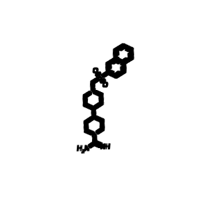 N=C(N)N1CCC(C2CCN(CS(=O)(=O)c3ccc4ccccc4c3)CC2)CC1